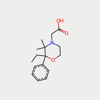 CCC1(c2ccccc2)OCCN(CC(=O)O)C1(C)C